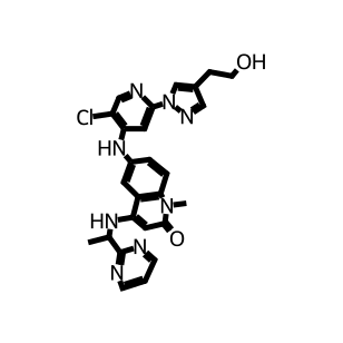 CC(Nc1cc(=O)n(C)c2ccc(Nc3cc(-n4cc(CCO)cn4)ncc3Cl)cc12)c1ncccn1